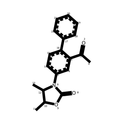 CC(=O)c1cc(N2C(=O)OC(C)C2C)ccc1-c1ccccc1